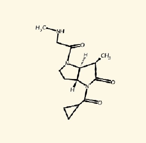 CNCC(=O)N1CC[C@@H]2[C@@H]1[C@@H](C)C(=O)N2C(=O)C1CC1